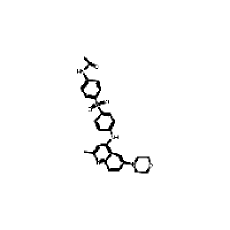 CC(=O)Nc1ccc(S(=O)(=O)c2ccc(Nc3cc(C)nc4ccc(N5CCOCC5)cc34)cc2)cc1